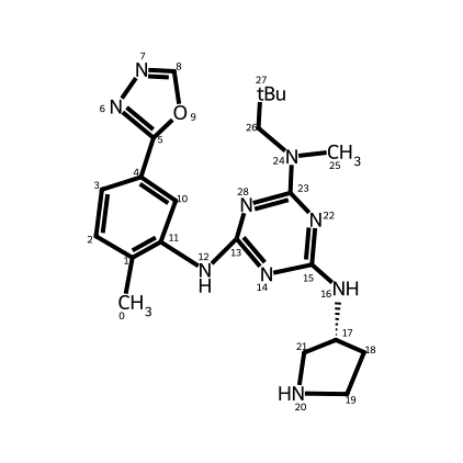 Cc1ccc(-c2nnco2)cc1Nc1nc(N[C@@H]2CCNC2)nc(N(C)CC(C)(C)C)n1